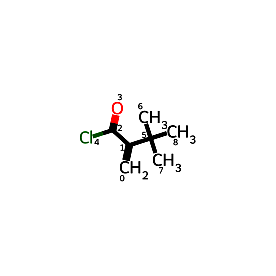 C=C(C(=O)Cl)C(C)(C)C